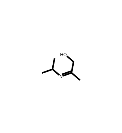 CC(CO)=NC(C)C